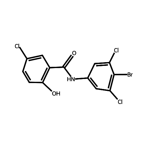 O=C(Nc1cc(Cl)c(Br)c(Cl)c1)c1cc(Cl)ccc1O